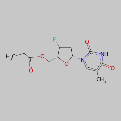 CCC(=O)OC[C@H]1O[C@@H](n2cc(C)c(=O)[nH]c2=O)CC1F